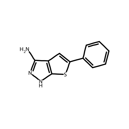 Nc1n[nH]c2sc(-c3ccccc3)cc12